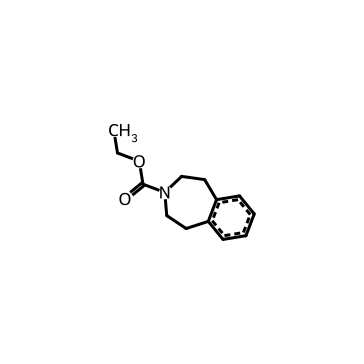 CCOC(=O)N1CCc2ccccc2CC1